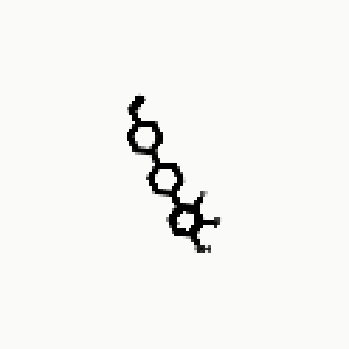 C=CC1CCC(C2CCC(c3ccc(O)c(F)c3F)CC2)CC1